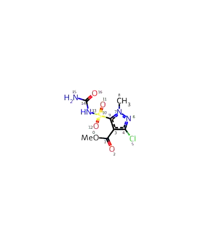 COC(=O)c1c(Cl)nn(C)c1S(=O)(=O)NC(N)=O